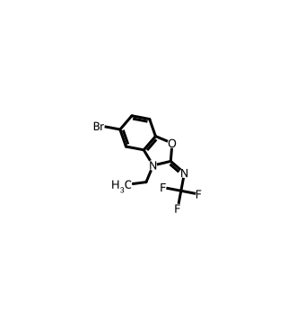 CCn1c(=NC(F)(F)F)oc2ccc(Br)cc21